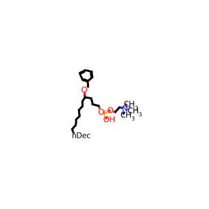 CCCCCCCCCCCCCCCCCC(CCCOP(O)OCC[N+](C)(C)C)OCc1ccccc1